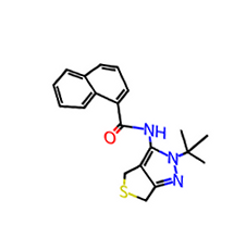 CC(C)(C)n1nc2c(c1NC(=O)c1cccc3ccccc13)CSC2